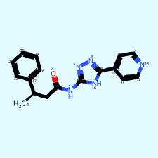 C[C@H](CC(=O)Nc1nnc(-c2ccncc2)[nH]1)c1ccccc1